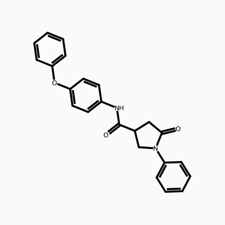 O=C(Nc1ccc(Oc2ccccc2)cc1)C1CC(=O)N(c2ccccc2)C1